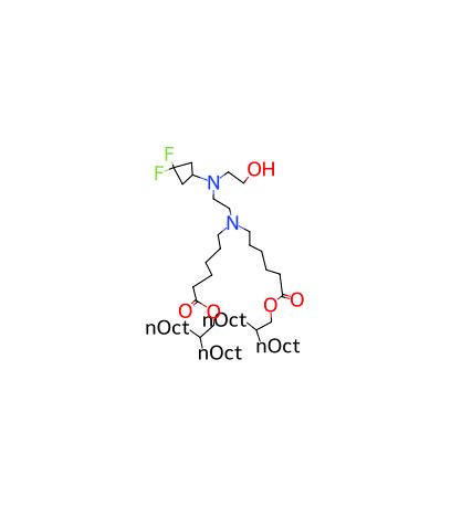 CCCCCCCCC(CCCCCCCC)COC(=O)CCCCCN(CCCCCC(=O)OCC(CCCCCCCC)CCCCCCCC)CCN(CCO)C1CC(F)(F)C1